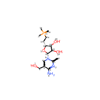 C=C1N=C(N)C(CO)=CN1[C@@H]1O[C@H](CCP(=C)(C)C)[C@@H](O)[C@H]1O